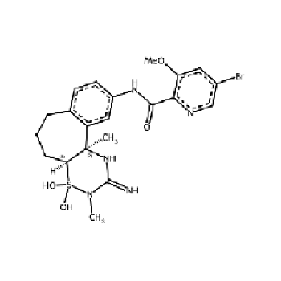 COc1cc(Br)cnc1C(=O)Nc1ccc2c(c1)[C@@]1(C)NC(=N)N(C)S(O)(O)[C@H]1CCC2